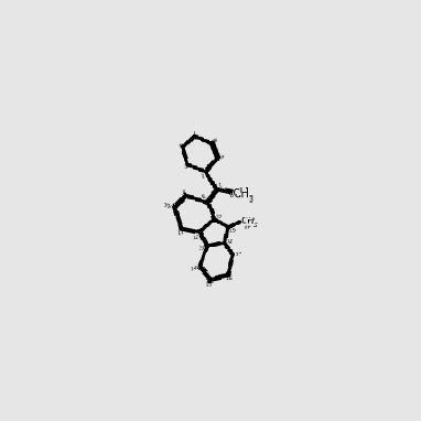 CC(C1CCCCC1)C1CCCC2C3CCCCC3C(C)C12